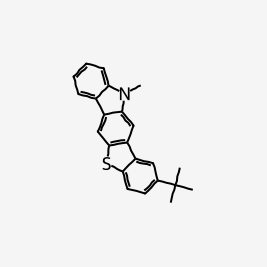 Cn1c2ccccc2c2cc3sc4ccc(C(C)(C)C)cc4c3cc21